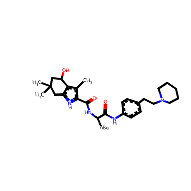 CCCCC(NC(=O)c1[nH]c2c(c1C)C(O)CC(C)(C)C2)C(=O)Nc1ccc(CCN2CCCCC2)cc1